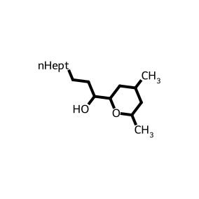 CCCCCCCCCC(O)C1CC(C)CC(C)O1